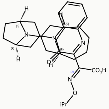 CC(C)O/N=C(\C(=O)O)c1nc2ccccc2n(C2C[C@H]3CC[C@@H](C2)N3C2C[C@H]3CCCC[C@@H](C2)C3)c1=O